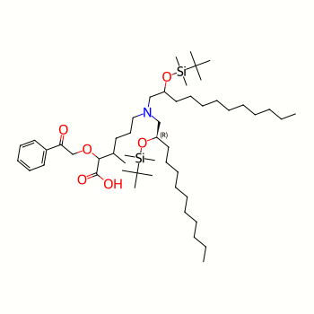 CCCCCCCCCCC(CN(CCCC(C)C(OCC(=O)c1ccccc1)C(=O)O)C[C@@H](CCCCCCCCCC)O[Si](C)(C)C(C)(C)C)O[Si](C)(C)C(C)(C)C